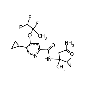 CC(CC(N)=O)(NC(=O)c1cc(O[C@@](C)(F)C(F)F)c(C2CC2)cn1)C1CC1